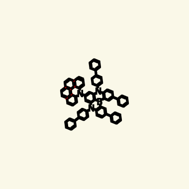 c1cc(-c2ccccc2)c(N(c2cc3c4c(c2)N(c2ccc(-c5ccccc5)cc2)c2ccc(-c5ccccc5)cc2B4c2cc(-c4ccccc4)ccc2N3C2=CC=C(c3ccccc3)CC2)c2ccccc2-c2ccccc2)cc#1